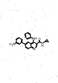 Nc1cccc(-c2ccc3ncc(C(=O)NC4CC4)c(Nc4ccccc4)c3c2)c1